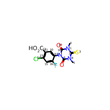 Cn1c(=S)n(C)c(=O)n(-c2cc(C(=O)O)c(Cl)cc2F)c1=O